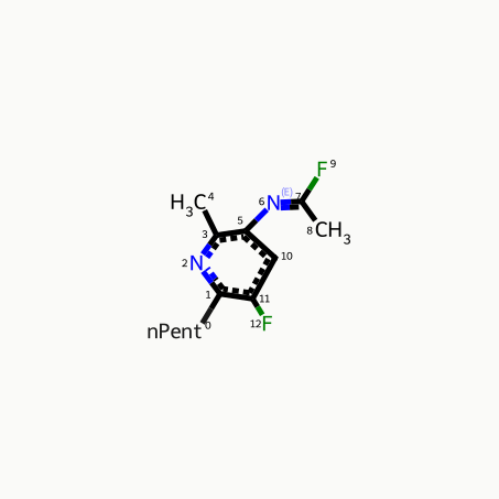 CCCCCc1nc(C)c(/N=C(\C)F)cc1F